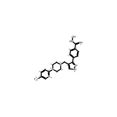 N=C(NO)c1ccc(-c2n[nH]cc2CN2CCN(c3ccc(C(F)(F)F)cn3)CC2)cc1